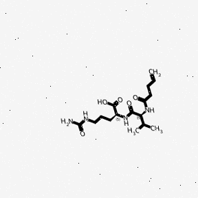 C=CCCC(=O)N[C@H](C(=O)N[C@@H](CCCNC(N)=O)C(=O)O)C(C)C